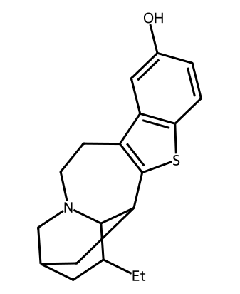 CCC1CC2CC3c4sc5ccc(O)cc5c4CCN(C2)C13